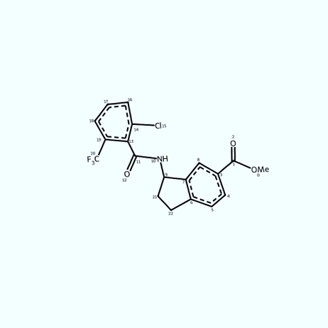 COC(=O)c1ccc2c(c1)C(NC(=O)c1c(Cl)cccc1C(F)(F)F)CC2